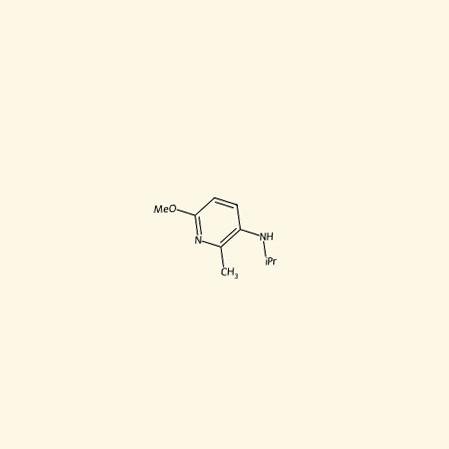 COc1ccc(NC(C)C)c(C)n1